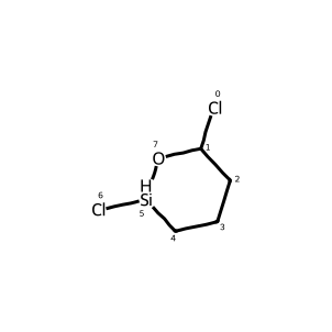 ClC1CCC[SiH](Cl)O1